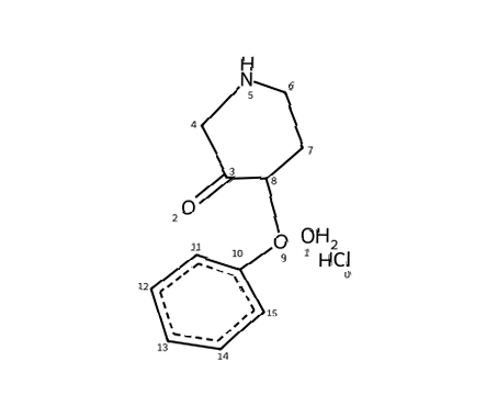 Cl.O.O=C1CNCCC1Oc1ccccc1